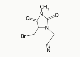 CN1C(=O)C(CBr)N(CC#N)C1=O